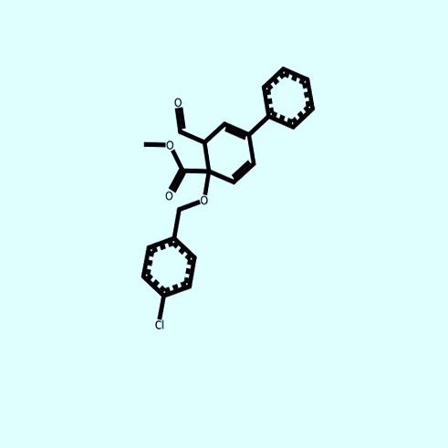 COC(=O)C1(OCc2ccc(Cl)cc2)C=CC(c2ccccc2)=CC1C=O